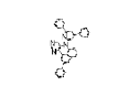 c1ccc(-c2cc(-c3ccccc3)nc(N3c4cncnc4-c4cc(-c5ccccc5)cc5cccc3c45)c2)cc1